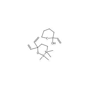 C=CC1(C=C)CC[Si](C)(C)[Si](C)(C)O1.C=CC1(O)CCCCC1